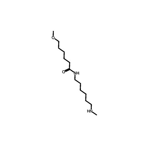 CNCCCCCCNC(=O)CCCCCOC